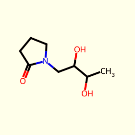 CC(O)C(O)CN1CCCC1=O